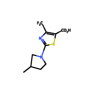 CC1CCN(c2nc(C(F)(F)F)c(C(=O)O)s2)C1